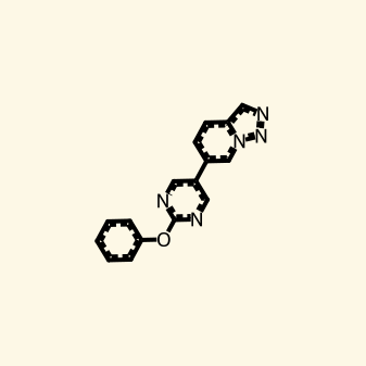 c1ccc(Oc2ncc(-c3ccc4cnnn4c3)cn2)cc1